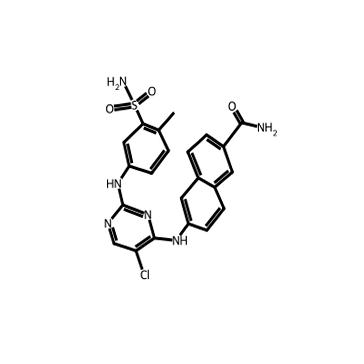 Cc1ccc(Nc2ncc(Cl)c(Nc3ccc4cc(C(N)=O)ccc4c3)n2)cc1S(N)(=O)=O